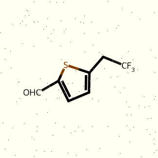 O=Cc1ccc(CC(F)(F)F)s1